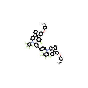 C=Cc1ccc(Oc2ccc(C3(c4ccc(F)cc4)c4ccccc4-c4ccc(N(c5ccc(-c6ccc(N(c7ccc8c(c7)C(c7ccc(F)cc7)(c7ccc(Oc9ccc(C=C)cc9)cc7)c7ccccc7-8)c7cc(F)c(F)c(F)c7F)cc6)cc5)c5cc(F)c(F)c(F)c5F)cc43)cc2)cc1